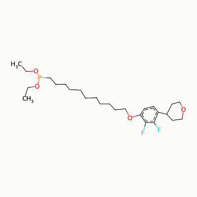 CCOP(CCCCCCCCCCCOc1ccc(C2CCOCC2)c(F)c1F)OCC